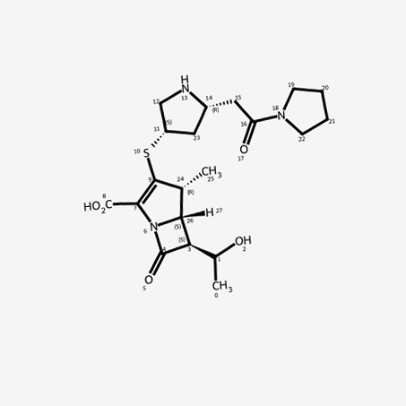 CC(O)[C@H]1C(=O)N2C(C(=O)O)=C(S[C@@H]3CN[C@H](CC(=O)N4CCCC4)C3)[C@H](C)[C@H]12